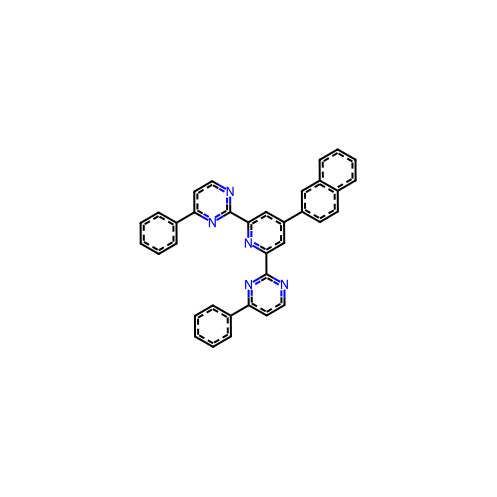 c1ccc(-c2ccnc(-c3cc(-c4ccc5ccccc5c4)cc(-c4nccc(-c5ccccc5)n4)n3)n2)cc1